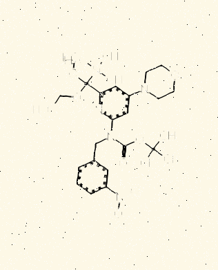 CCOC(OC)(c1cc(N2CCOCC2)cc(N(Cc2cccc([N+](=O)[O-])c2)C(=O)OC(C)(C)C)n1)[Si](C)(C)C